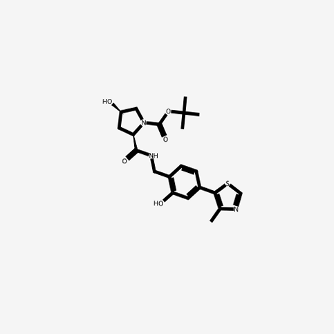 Cc1ncsc1-c1ccc(CNC(=O)[C@H]2C[C@@H](O)CN2C(=O)OC(C)(C)C)c(O)c1